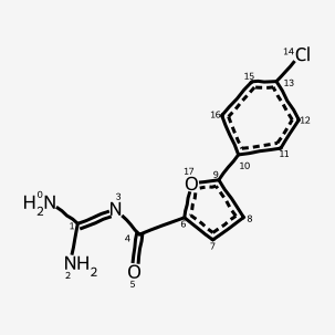 NC(N)=NC(=O)c1ccc(-c2ccc(Cl)cc2)o1